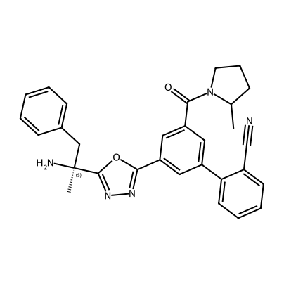 CC1CCCN1C(=O)c1cc(-c2nnc([C@@](C)(N)Cc3ccccc3)o2)cc(-c2ccccc2C#N)c1